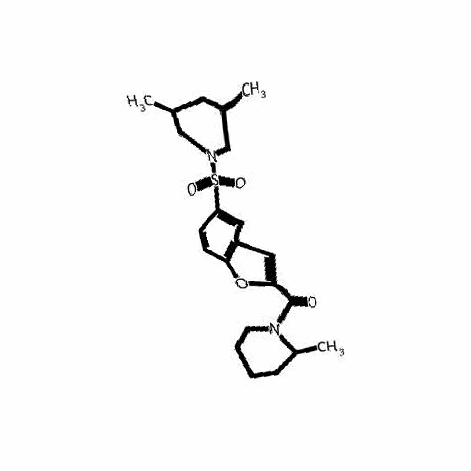 CC1CC(C)CN(S(=O)(=O)c2ccc3oc(C(=O)N4CCCCC4C)cc3c2)C1